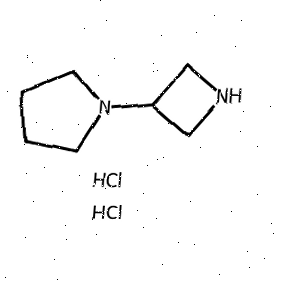 C1CCN(C2CNC2)C1.Cl.Cl